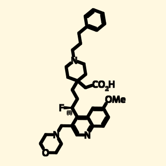 COc1ccc2ncc(CN3CCOCC3)c([C@@H](F)CCC3(CC(=O)O)CCN(CCCc4ccccc4)CC3)c2c1